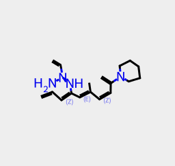 C=C/C=C(/C=C(C)/C=C\C(=C)N1CCCCC1)NN(N)C=C